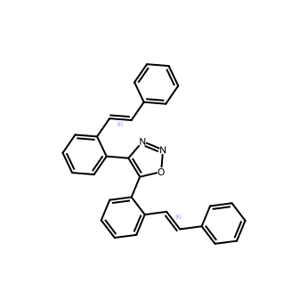 C(=C\c1ccccc1-c1nnoc1-c1ccccc1/C=C/c1ccccc1)/c1ccccc1